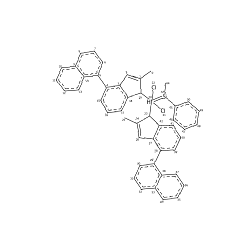 CC1=Cc2c(-c3cccc4ccccc34)cccc2[CH]1[Hf]([Cl])([Cl])([CH]1C(C)=Cc2c(-c3cccc4ccccc34)cccc21)=[Si](C)c1ccccc1